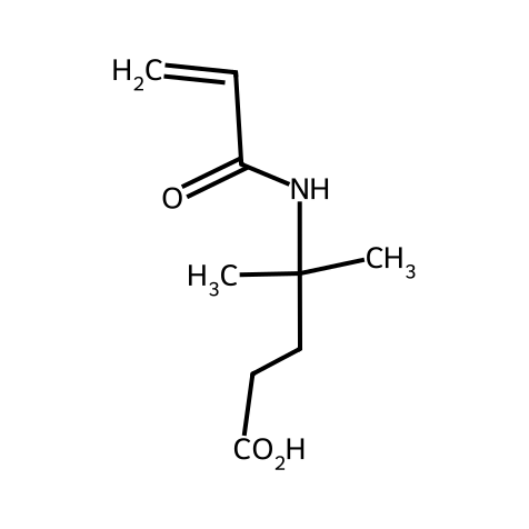 C=CC(=O)NC(C)(C)CCC(=O)O